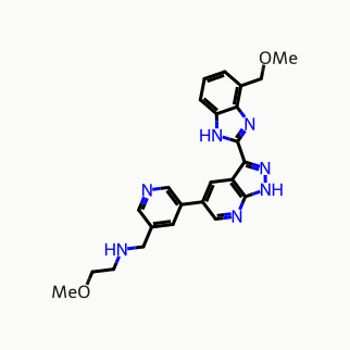 COCCNCc1cncc(-c2cnc3[nH]nc(-c4nc5c(COC)cccc5[nH]4)c3c2)c1